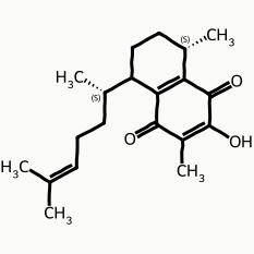 CC(C)=CCC[C@H](C)C1CC[C@H](C)C2=C1C(=O)C(C)=C(O)C2=O